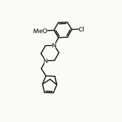 COc1ccc(Cl)cc1N1CCN(CC2CC3C=CC2C3)CC1